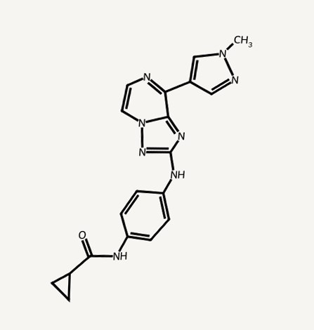 Cn1cc(-c2nccn3nc(Nc4ccc(NC(=O)C5CC5)cc4)nc23)cn1